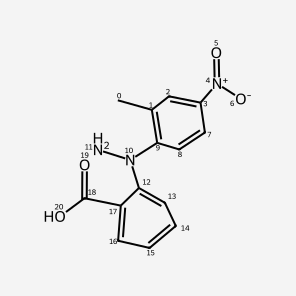 Cc1cc([N+](=O)[O-])ccc1N(N)c1ccccc1C(=O)O